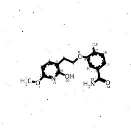 COc1ccc(CCOc2cc(C(N)=O)ccc2I)c(O)n1